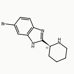 Brc1ccc2nc([C@@H]3CCCCN3)[nH]c2c1